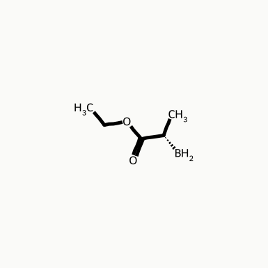 B[C@@H](C)C(=O)OCC